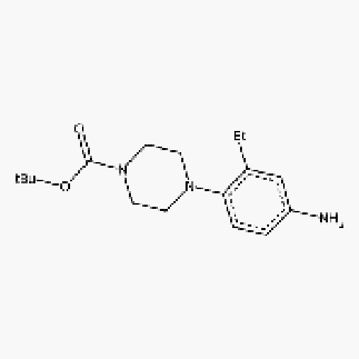 CCc1cc(N)ccc1N1CCN(C(=O)OC(C)(C)C)CC1